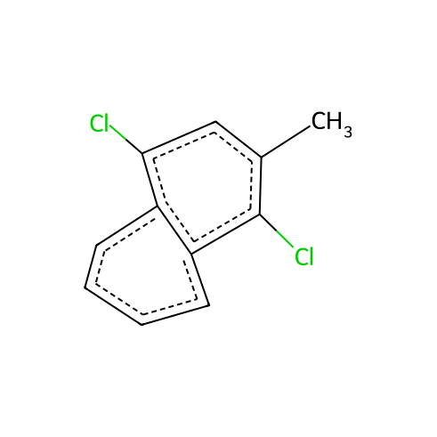 Cc1cc(Cl)c2ccccc2c1Cl